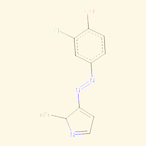 CCCC1N=CC=C1/N=N/c1ccc(O)c(Cl)c1